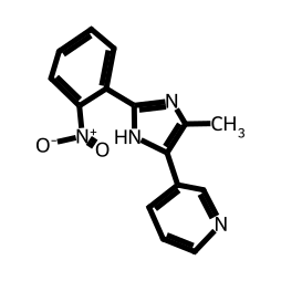 Cc1nc(-c2ccccc2[N+](=O)[O-])[nH]c1-c1cccnc1